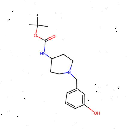 CC(C)(C)OC(=O)NC1CCN(Cc2cccc(O)c2)CC1